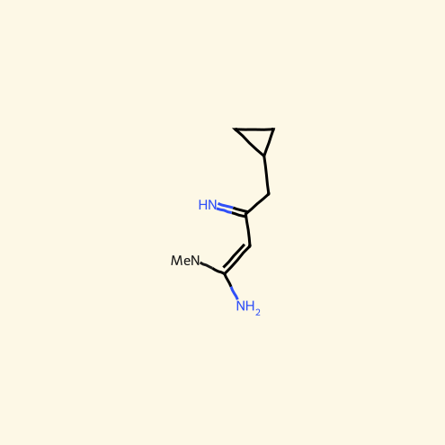 CN/C(N)=C\C(=N)CC1CC1